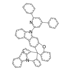 c1ccc(-c2cc(-c3ccccc3)nc(-n3c4ccccc4c4cc5c(cc43)Oc3ccccc3C53c4ccccc4-n4c5ccccc5c5cccc3c54)c2)cc1